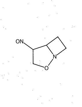 O=NC1CON2CCC12